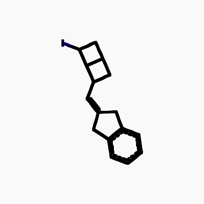 IC1CC2CC(C=C3Cc4ccccc4C3)C12